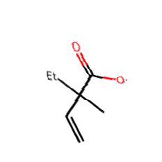 C=CC(C)(CC)C([O])=O